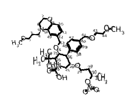 COCCCN1CCOc2ccc(CO[C@H]3C(C(C)(C)C)N(C(=O)O)C[C@@H](OCC[C@H](C)O[N+](=O)[O-])[C@@H]3c3ccc(COCCOC)cc3)cc21